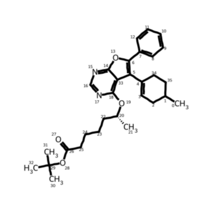 CC1CC=C(c2c(-c3ccccc3)oc3ncnc(O[C@H](C)CCCCC(=O)OC(C)(C)C)c23)CC1